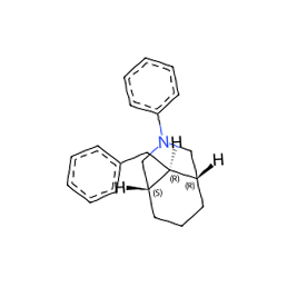 c1ccc(C[C@@H]2[C@@H]3CCC[C@H]2CN(c2ccccc2)C3)cc1